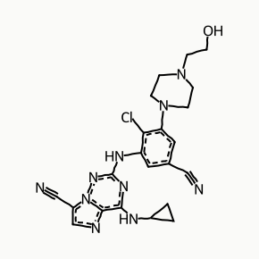 N#Cc1cc(Nc2nc(NC3CC3)c3ncc(C#N)n3n2)c(Cl)c(N2CCN(CCO)CC2)c1